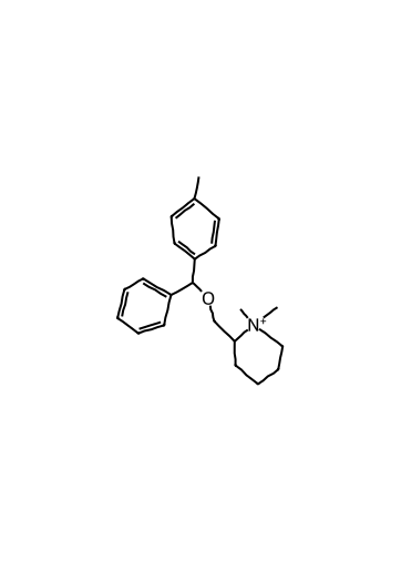 Cc1ccc(C(OCC2CCCC[N+]2(C)C)c2ccccc2)cc1